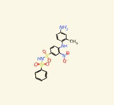 Cc1cc(N)ccc1Nc1ccc(S(=O)(=O)NS(=O)(=O)c2ccccc2)cc1[N+](=O)[O-]